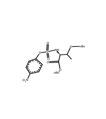 CCCCOC(=O)[C@@H](NS(=O)(=O)Oc1ccc([N+](=O)[O-])cc1)C(C)OCCCC